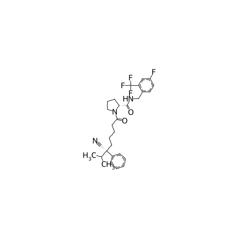 CC(C)[C@@](C#N)(CCCCC(=O)N1CCC[C@@H]1C(=O)NCc1ccc(F)cc1C(F)(F)F)c1ccccc1